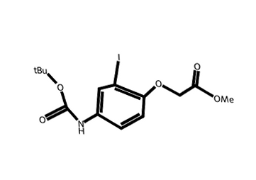 COC(=O)COc1ccc(NC(=O)OC(C)(C)C)cc1I